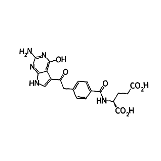 Nc1nc(O)c2c(C(=O)Cc3ccc(C(=O)N[C@@H](CCC(=O)O)C(=O)O)cc3)c[nH]c2n1